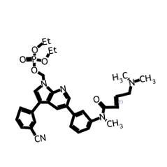 CCOP(=O)(OCC)OCn1cc(-c2cccc(C#N)c2)c2cc(-c3cccc(N(C)C(=O)/C=C/CN(C)C)c3)cnc21